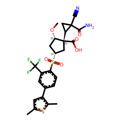 CO[C@H]1C[C@@H](S(=O)(=O)c2ccc(-c3cc(C)sc3C)cc2C(F)(F)F)C[C@]1(C(=O)O)C1CC1(C#N)C(N)=O